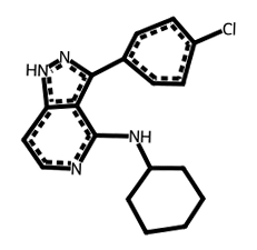 Clc1ccc(-c2n[nH]c3ccnc(NC4CCCCC4)c23)cc1